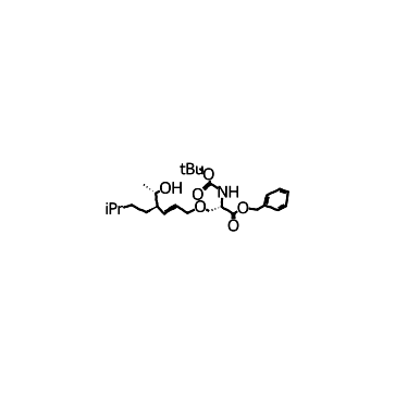 CC(C)CC[C@H](/C=C/COC[C@H](NC(=O)OC(C)(C)C)C(=O)OCc1ccccc1)[C@H](C)O